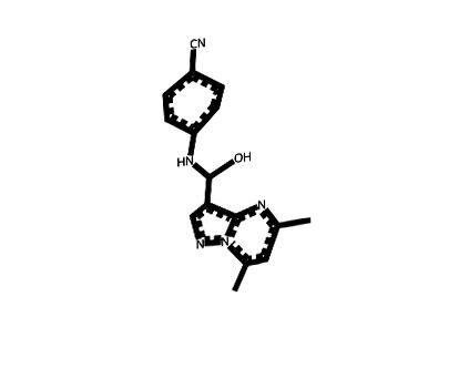 Cc1cc(C)n2ncc(C(O)Nc3ccc(C#N)cc3)c2n1